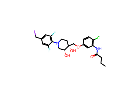 CCCC(=O)Nc1cc(OC[C@]2(O)CCN(c3c(F)cc(CI)cc3F)C[C@H]2O)ccc1Cl